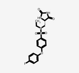 CCN(C[C@@H]1NC(=O)NC1=O)S(=O)(=O)c1ccc(Oc2ccc(F)cc2)cc1